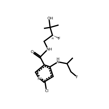 CC(CF)Nc1cc(Cl)ncc1C(=O)NC[C@@H](F)C(C)(C)O